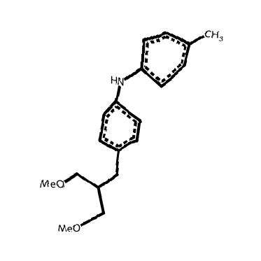 COCC(COC)Cc1ccc(Nc2ccc(C)cc2)cc1